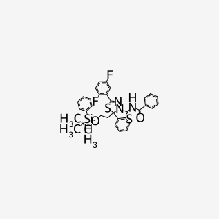 CC(C)(C)[SiH](OCCC1(c2ccccc2)SC(c2cc(F)ccc2F)=NN1C(=S)NC(=O)c1ccccc1)c1ccccc1